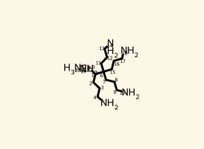 CCC(CCCN)C(CCCN)(CCCN)CCCN.N.N